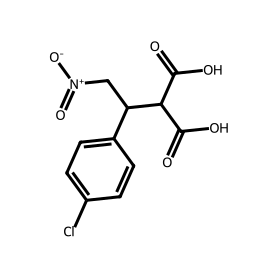 O=C(O)C(C(=O)O)C(C[N+](=O)[O-])c1ccc(Cl)cc1